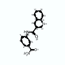 NC(=O)c1cccc(NC(=O)c2cnc3ccccc3c2)c1